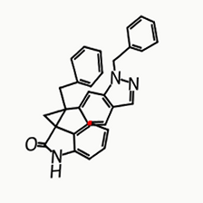 O=C1Nc2ccccc2C12CC2(Cc1ccccc1)c1ccc2cnn(Cc3ccccc3)c2c1